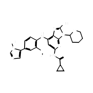 COc1cc(-c2cncn2C)ccc1Nc1cc(NC(=O)C2CC2)nc2c1nc(C)n2C1CCCCO1